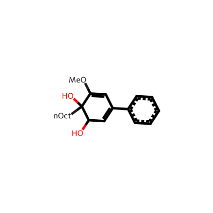 CCCCCCCCC1(O)C(OC)=CC(c2ccccc2)=CC1O